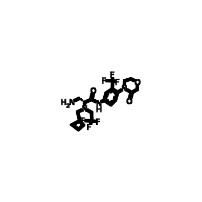 NC[C@H](C(=O)Nc1ccc(N2CCOCC2=O)c(C(F)(F)F)c1)N(CC1CCC1)CC(F)(F)F